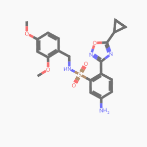 COc1ccc(CNS(=O)(=O)c2cc(N)ccc2-c2noc(C3CC3)n2)c(OC)c1